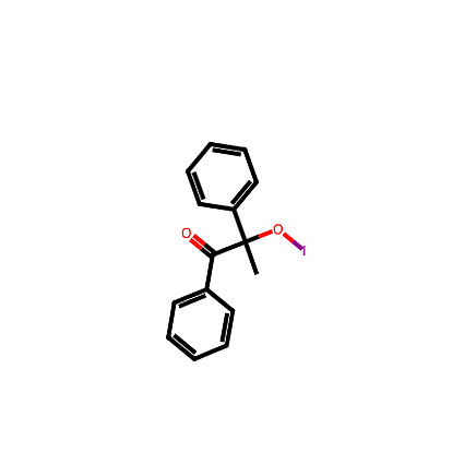 CC(OI)(C(=O)c1ccccc1)c1ccccc1